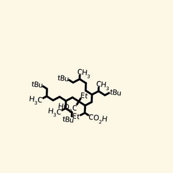 CCC(C(=O)O)C(CC(CCC(C)CC(C)(C)C)C(C)CC(C)(C)C)C(CC)(CC(CCC(C)CC(C)(C)C)C(C)CC(C)(C)C)C(=O)O